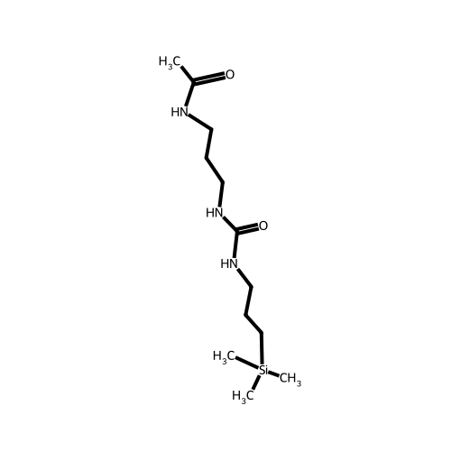 CC(=O)NCCCNC(=O)NCCC[Si](C)(C)C